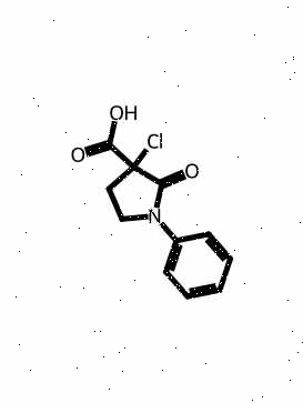 O=C(O)C1(Cl)CCN(c2ccccc2)C1=O